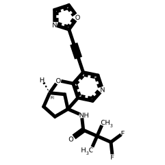 CC(C)(C(=O)NC12CC[C@H](C1)Oc1c(C#Cc3ncco3)cncc12)C(F)F